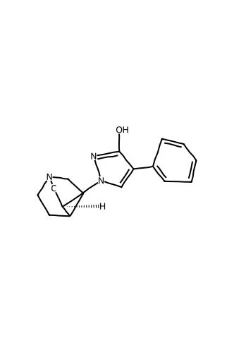 Oc1nn([C@@H]2CN3CCC2CC3)cc1-c1ccccc1